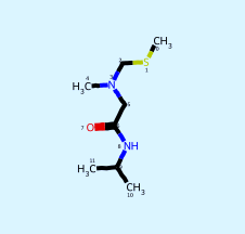 CSCN(C)CC(=O)NC(C)C